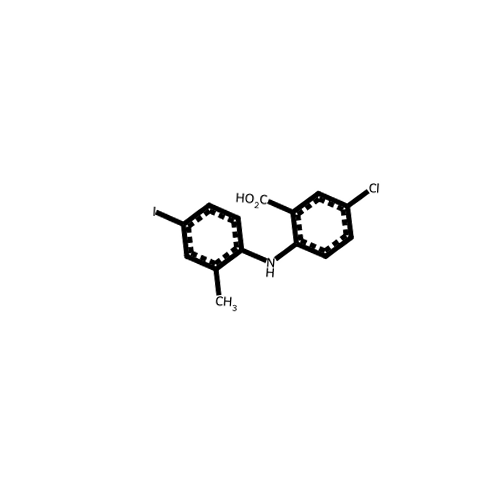 Cc1cc(I)ccc1Nc1ccc(Cl)cc1C(=O)O